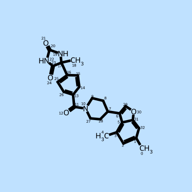 Cc1cc(C)c2c(C3CCN(C(=O)c4ccc(C5(C)NC(=O)NC5=O)cc4)CC3)coc2c1